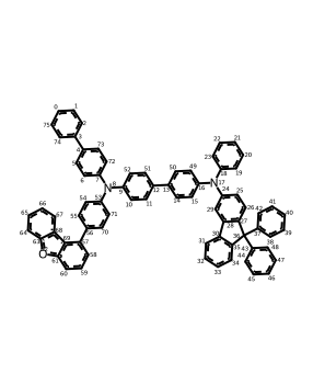 c1ccc(-c2ccc(N(c3ccc(-c4ccc(N(c5ccccc5)c5ccc6c(c5)-c5ccccc5C6(c5ccccc5)c5ccccc5)cc4)cc3)c3ccc(-c4cccc5oc6ccccc6c45)cc3)cc2)cc1